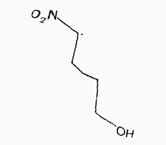 O=[N+]([O-])[CH]CCCO